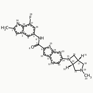 Cc1cn2cc(NC(=O)c3cc4ncc(N5C[C@@H]6CN(C)C[C@@H]65)nc4s3)cc(F)c2n1